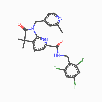 Cc1cc(CN2C(=O)C(C)(C)c3ccc(C(=O)NCc4c(F)cc(F)cc4F)nc32)ccn1